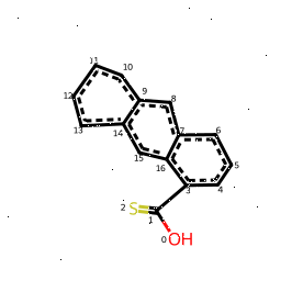 OC(=S)c1cccc2cc3ccccc3cc12